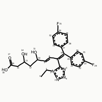 CCn1nnnc1C(/C=C/C(O)CC(O)CC(=O)O)=C(c1ccc(F)cc1)c1ccc(F)cc1